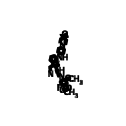 COc1cc(S(C)(=O)=O)c(F)cc1NCC#Cc1sc2c(NC3CCC(N4CCC5(CC4)COC5)CC3)cccc2c1CC#N